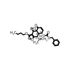 CCCCOc1noc2c1C(=O)[C@@]1(O)C(=O)C=C[C@H](OC(=O)OCc3ccccc3)[C@H]1[C@@H]2N(C)C